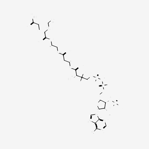 CC(C)(COP(=O)(O)OP(=O)(O)OC[C@H]1O[C@@H](n2cnc3c(N)ncnc32)[C@H](O)[C@@H]1OP(=O)(O)O)[C@@H](O)C(=O)NCCC(=O)NCCSC(=O)[C@H](CCC(=O)O)NCO